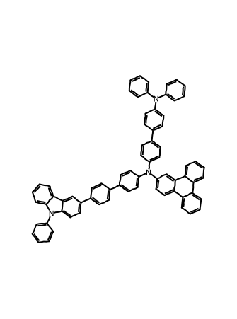 c1ccc(N(c2ccccc2)c2ccc(-c3ccc(N(c4ccc(-c5ccc(-c6ccc7c(c6)c6ccccc6n7-c6ccccc6)cc5)cc4)c4ccc5c6ccccc6c6ccccc6c5c4)cc3)cc2)cc1